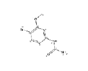 COc1cc(NC(N)=O)ccc1Br